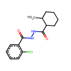 O=C(NNC(=O)C1CCCCC1C(=O)O)c1ccccc1Cl